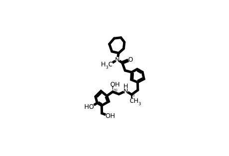 C[C@H](Cc1cccc(CC(=O)N(C)C2CCCCCC2)c1)NC[C@@H](O)c1ccc(O)c(CO)c1